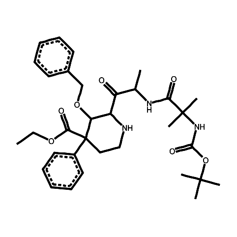 CCOC(=O)C1(c2ccccc2)CCNC(C(=O)C(C)NC(=O)C(C)(C)NC(=O)OC(C)(C)C)C1OCc1ccccc1